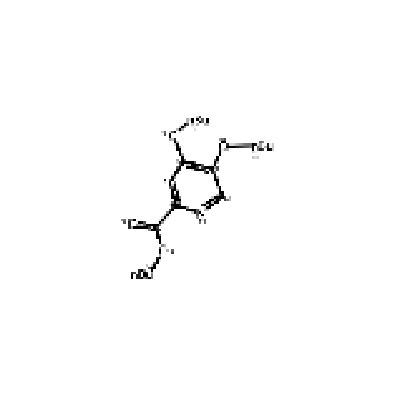 CCCCOC(=O)c1cc(OCCCC)c(OCCCC)cn1